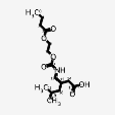 CCCC(=O)OCCOC(=O)NCC(CC(=O)O)CC(C)C